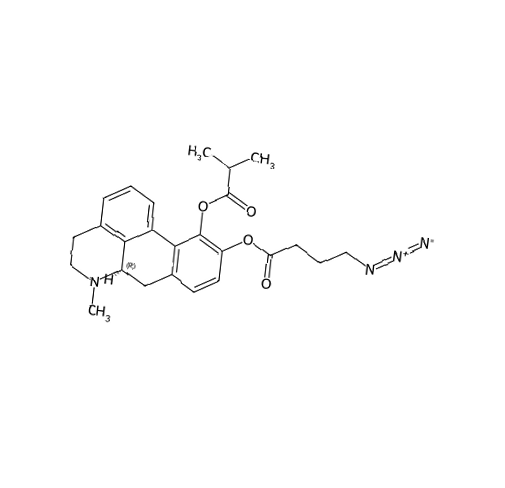 CC(C)C(=O)Oc1c(OC(=O)CCCN=[N+]=[N-])ccc2c1-c1cccc3c1[C@@H](C2)N(C)CC3